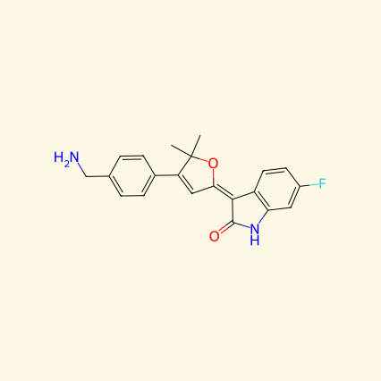 CC1(C)O/C(=C2/C(=O)Nc3cc(F)ccc32)C=C1c1ccc(CN)cc1